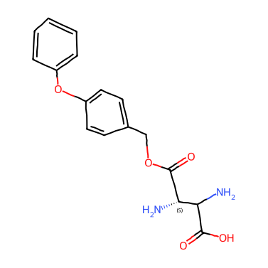 NC(C(=O)O)[C@H](N)C(=O)OCc1ccc(Oc2ccccc2)cc1